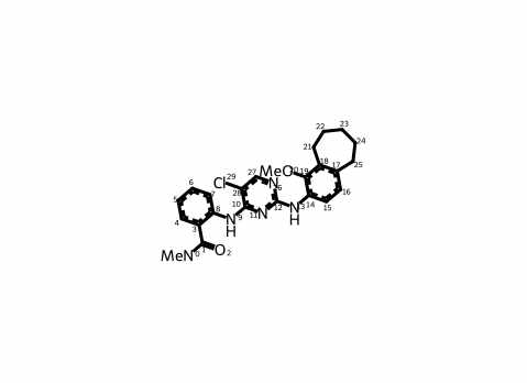 CNC(=O)c1ccccc1Nc1nc(Nc2ccc3c(c2OC)CCCCC3)ncc1Cl